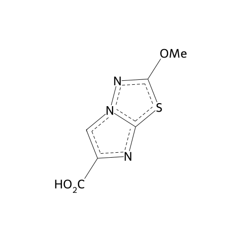 COc1nn2cc(C(=O)O)nc2s1